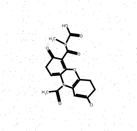 CC(=O)N1C2=CCC(=O)C(C(=O)N(C)C(=O)O)=C2OC2=C1C=C(Cl)CC2